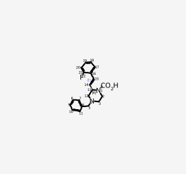 O=C(O)N1CCN(Cc2ccccc2)C[C@H]1/C=C/c1ccccc1F